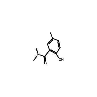 Cc1ccc(O)c(C(=O)N(C)C)c1